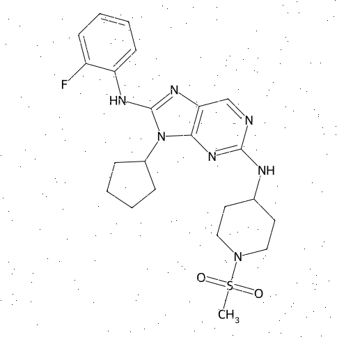 CS(=O)(=O)N1CCC(Nc2ncc3nc(Nc4ccccc4F)n(C4CCCC4)c3n2)CC1